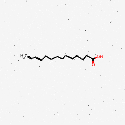 C=C/C=C/CCCCCCCCCC(=O)O